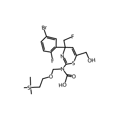 C[Si](C)(C)CCOCN(C(=O)O)C1=NC(CF)(c2cc(Br)ccc2F)C=C(CO)S1